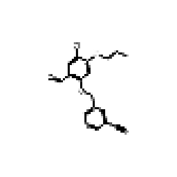 CCCOc1cc(OCc2cncc(C#N)c2)c(C=O)cc1Cl